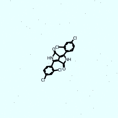 O=C1NC(c2ccc(Cl)cc2Cl)=C2C(=O)NC(c3ccc(Cl)cc3Cl)=C12